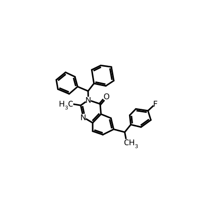 Cc1nc2ccc(C(C)c3ccc(F)cc3)cc2c(=O)n1C(c1ccccc1)c1ccccc1